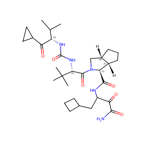 CC(C)[C@H](NC(=O)N[C@H](C(=O)N1C[C@@H]2CCC[C@@H]2[C@H]1C(=O)NC(CC1CCC1)C(=O)C(N)=O)C(C)(C)C)C(=O)C1CC1